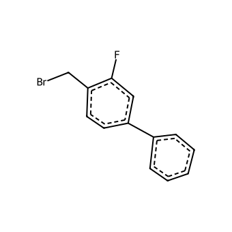 Fc1cc(-c2ccccc2)ccc1CBr